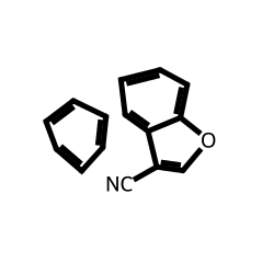 N#Cc1coc2ccccc12.c1ccccc1